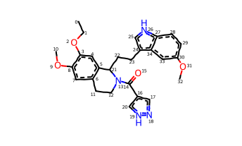 CCOc1cc2c(cc1OC)CCN(C(=O)c1cn[nH]c1)C2CCc1c[nH]c2ccc(OC)cc12